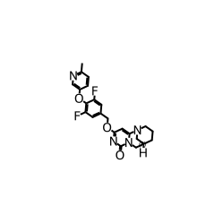 Cc1ccc(Oc2c(F)cc(COc3cc4n(c(=O)n3)C[C@H]3CCCN4C3)cc2F)cn1